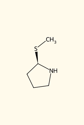 CS[C@@H]1CCCN1